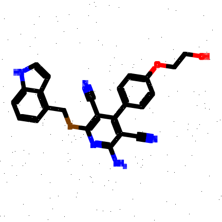 N#Cc1c(N)nc(SCc2cccc3[nH]ccc23)c(C#N)c1-c1ccc(OCCO)cc1